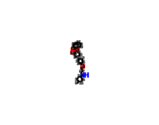 CC1CCC(NCCCOc2ccc([C@H]3CC[C@]4(CC3)OO[C@]3(O4)C4CC5CC(C4)CC3C5)cc2)CC1